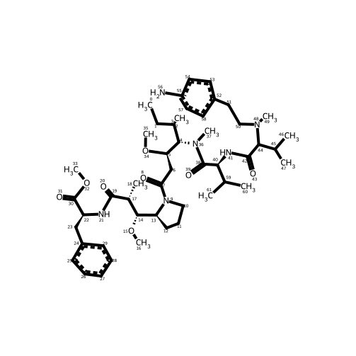 CC[C@H](C)[C@@H]([C@@H](CC(=O)N1CCC[C@H]1[C@H](OC)[C@@H](C)C(=O)N[C@@H](Cc1ccccc1)C(=O)OC)OC)N(C)C(=O)[C@@H](NC(=O)C(C(C)C)N(C)CCc1ccc(N)cc1)C(C)C